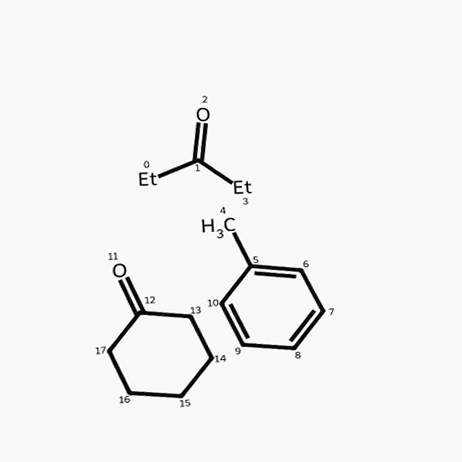 CCC(=O)CC.Cc1ccccc1.O=C1CCCCC1